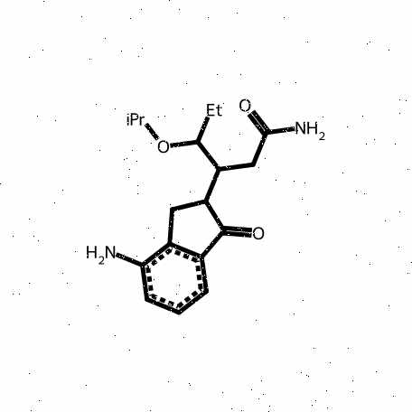 CCC(OC(C)C)C(CC(N)=O)C1Cc2c(N)cccc2C1=O